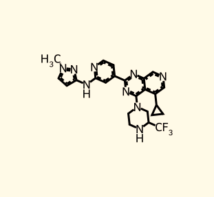 Cn1ccc(Nc2cc(-c3nc(N4CCNC(C(F)(F)F)C4)c4c(C5CC5)cncc4n3)ccn2)n1